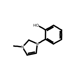 CN1C=CN(c2ccccc2O)C1